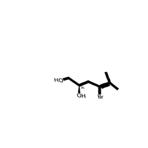 CC(C)=C(Br)C[C@@H](O)CO